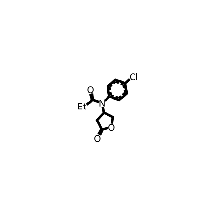 CCC(=O)N(c1ccc(Cl)cc1)C1COC(=O)C1